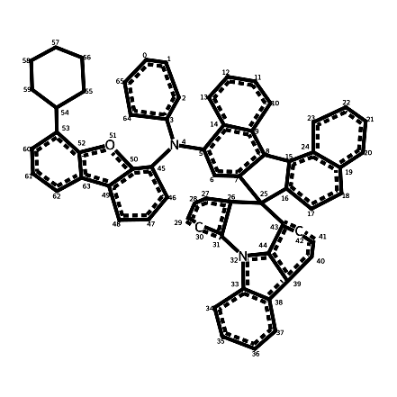 c1ccc(N(c2cc3c(c4ccccc24)-c2c(ccc4ccccc24)C32c3ccccc3-n3c4ccccc4c4cccc2c43)c2cccc3c2oc2c(C4CCCCC4)cccc23)cc1